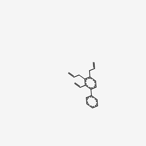 C=CCc1ccc(-c2ccccc2)c(C=C)c1CC=C